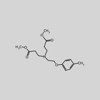 COC(=O)CCN(CCOc1ccc(C)cc1)CCC(=O)OC